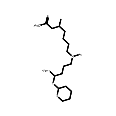 CCCCCC(CCCN(CCCCC(C)CC(=O)OC)C(C)=O)OC1CCCCO1